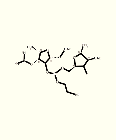 [2H]B([3H])O[C@H]1C(OP(OCC[N+]#[C-])OC[C@H]2O[C@@H](B)[C@@H](OC(C)=O)C2C)[C@@H](COC(C)=O)O[C@H]1B